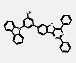 N#Cc1cc(-c2ccc3c(c2)oc2c(-c4ccccc4)nc(-c4ccccc4)nc23)cc(-n2c3ccccc3c3ccccc32)c1